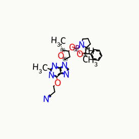 CC[C@H]1O[C@@H](n2cnc3c(OCCC#N)nc(C)nc32)CC1O[P@]1O[C@@](C)(c2ccccc2)[C@H]2CCCN21